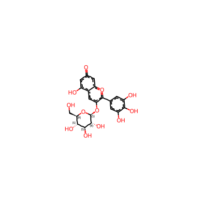 O=c1cc2oc(-c3cc(O)c(O)c(O)c3)c(O[C@@H]3O[C@H](CO)[C@@H](O)[C@H](O)[C@H]3O)cc-2c(O)c1